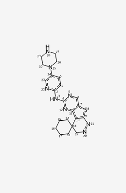 c1cc(Nc2ncc3sc4c(c3n2)C2(CCCCC2)CN=N4)ncc1N1CCNCC1